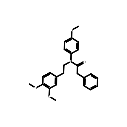 COc1ccc(N(CCc2ccc(OC)c(OC)c2)C(=O)Cc2ccccc2)cc1